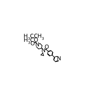 CC(C)(C)OC(=O)N1CCC(N(C(=O)c2ccc(-c3cccnc3)cc2)C2CC2)CC1